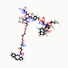 CCCC1O[C@@H]2CC3[C@@H]4C[C@H](F)C5=CC(=O)C=C[C@]5(C)[C@@]4(F)[C@@H](O)C[C@]3(C)[C@]2(C(=O)CNC(=O)OCc2ccc(NC(=O)[C@H](CCCNC(N)=O)NC(=O)[C@@H](NC(=O)CCOCCOCCOCCOCCNC(=O)CCC(=O)N3Cc4ccccc4C#Cc4ccccc43)C(C)C)cc2)O1